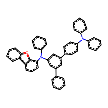 c1ccc(-c2cc(-c3ccc(N(c4ccccc4)c4ccccc4)cc3)cc(N(c3ccccc3)c3cccc4c3oc3ccccc34)c2)cc1